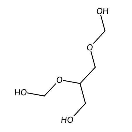 OCOCC(CO)OCO